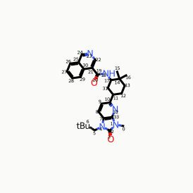 Cn1c(=O)n(CC(C)(C)C)c2ccc(C3CCC(C)(C)C(NC(=O)c4cncc5ccccc45)C3)nc21